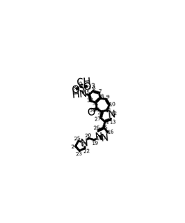 CS(=O)(=O)Nc1ccc2ccc3ncc(-c4cnn(CCN5CCCC5)c4)cc3c(=O)c2c1